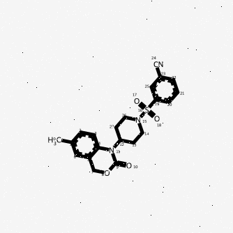 Cc1ccc2c(c1)COC(=O)N2C1CCN(S(=O)(=O)c2cccc(C#N)c2)CC1